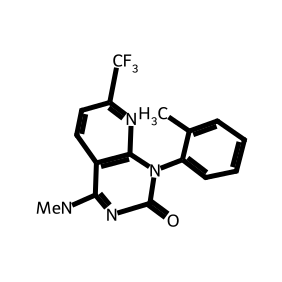 CNc1nc(=O)n(-c2ccccc2C)c2nc(C(F)(F)F)ccc12